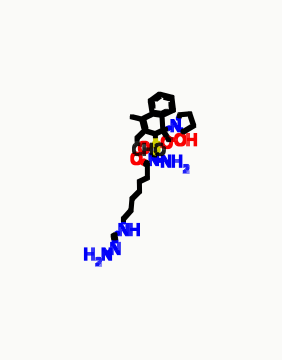 CC1=C(CC=O)C(S(=O)(=O)N(N)C(=O)CCCCCCNC=NN)C(CO)(N2CCCC2)c2ccccc21